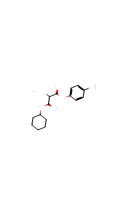 Cc1ccc(OC(=O)C(C)C(=O)OC2CCCCC2)cc1